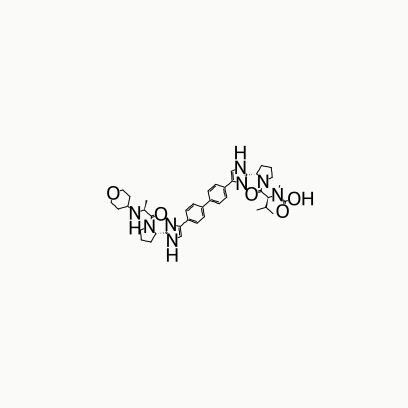 CC(C)[C@@H](C(=O)N1CCC[C@H]1c1nc(-c2ccc(-c3ccc(-c4c[nH]c([C@@H]5CCCN5C(=O)[C@H](C)NC5CCOCC5)n4)cc3)cc2)c[nH]1)N(C)C(=O)O